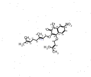 CCn1c(=O)c(OC/C=C(\C)CCC=C(C)C)c(OCC=C(C)C)c2ccc([N+](=O)[O-])cc21